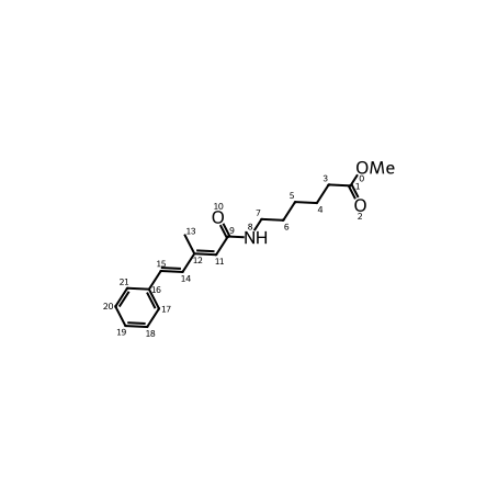 COC(=O)CCCCCNC(=O)/C=C(C)/C=C/c1ccccc1